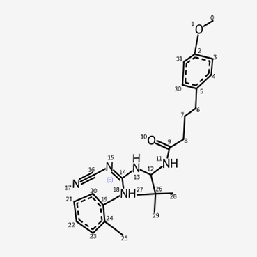 COc1ccc(CCCC(=O)NC(N/C(=N/C#N)Nc2ccccc2C)C(C)(C)C)cc1